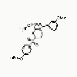 CCCCOc1ccc(S(=O)(=O)C2CCN(Cc3cccc(OC)c3)C(C(=O)O)C2)cc1.NO